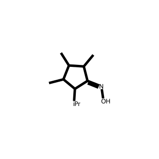 CC(C)C1/C(=N\O)C(C)C(C)C1C